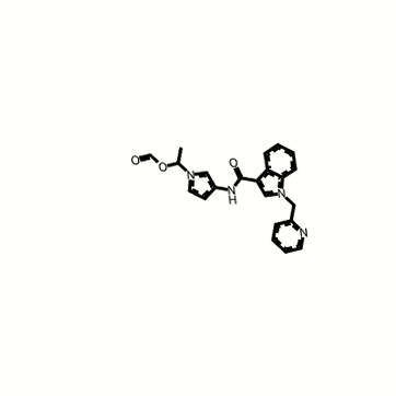 CC(OC=O)n1ccc(NC(=O)c2cn(Cc3ccccn3)c3ccccc23)c1